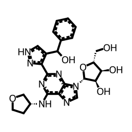 OC[C@H]1O[C@@H](n2cnc3c(N[C@@H]4CCOC4)nc(-c4n[nH]cc4C(O)c4ccccc4)nc32)[C@H](O)[C@@H]1O